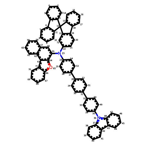 c1ccc2c(c1)-c1ccccc1C21c2ccccc2-c2ccc(N(c3ccc(-c4ccc(-c5ccc(-n6c7ccccc7c7ccccc76)cc5)cc4)cc3)c3cc4ccccc4c4c3oc3ccccc34)cc21